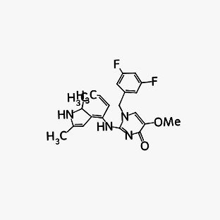 C/C=C\C(Nc1nc(=O)c(OC)cn1Cc1cc(F)cc(F)c1)=C1\C=C(C)NC1C